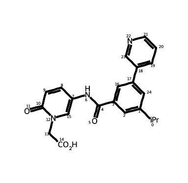 CC(C)c1cc(C(=O)Nc2ccc(=O)n(CC(=O)O)c2)cc(-c2cccnc2)c1